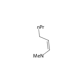 CCCC/C=C\NC